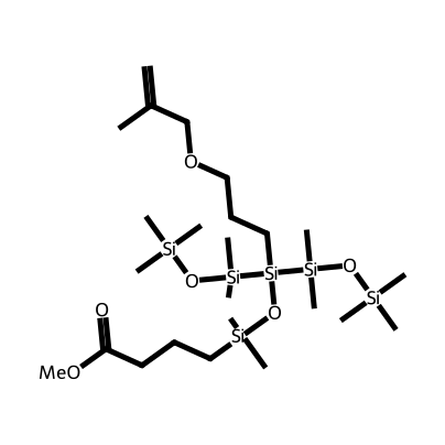 C=C(C)COCCC[Si](O[Si](C)(C)CCCC(=O)OC)([Si](C)(C)O[Si](C)(C)C)[Si](C)(C)O[Si](C)(C)C